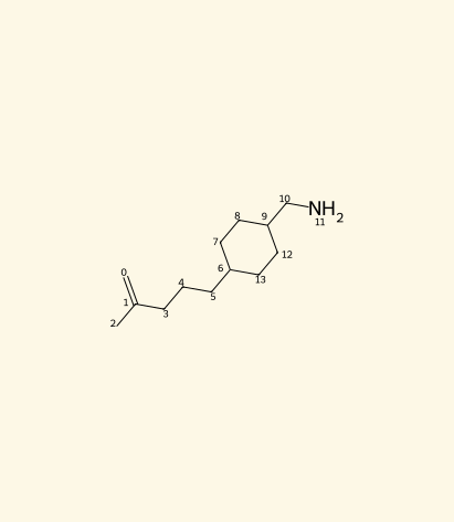 C=C(C)CCCC1CCC(CN)CC1